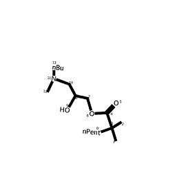 CCCCCC(C)(C)C(=O)OCC(O)CN(C)CCCC